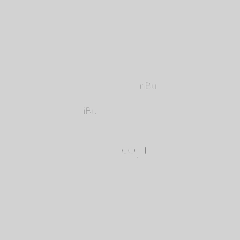 CCCC/C=C(/C(=O)O)C(C)CC